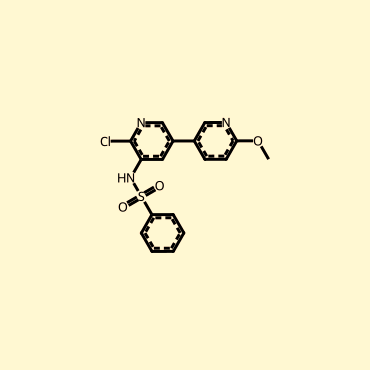 COc1ccc(-c2cnc(Cl)c(NS(=O)(=O)c3ccccc3)c2)cn1